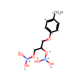 O=C(O)c1ccc(OCC(CON(O)O)ON(O)O)cc1